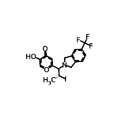 C[C@@H](I)C(c1cc(=O)c(O)co1)N1Cc2ccc(C(F)(F)F)cc2C1